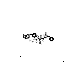 C[C@H](COc1ccc(CN2CCn3ncnc3C2)cc1N(C)C=O)NC(=O)c1n[nH]c(Cc2ccccc2)n1